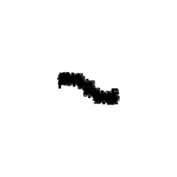 C/C(=N\c1cc(C)c(/N=C(\C)c2cccc(/C(C)=N/c3cccc(F)c3C)n2)cc1C)c1cccc(/C(C)=N/c2cccc(F)c2C)n1